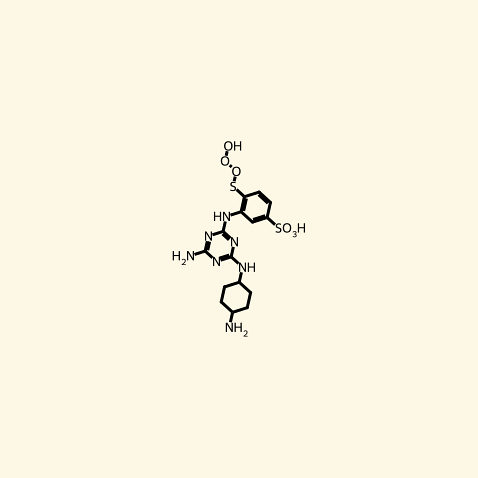 Nc1nc(Nc2cc(S(=O)(=O)O)ccc2SOOO)nc(NC2CCC(N)CC2)n1